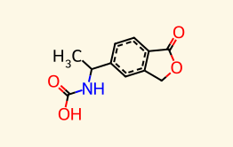 CC(NC(=O)O)c1ccc2c(c1)COC2=O